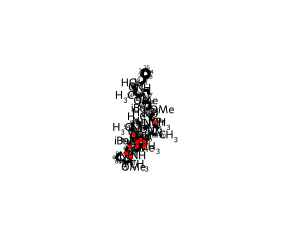 CC[C@H](C)[C@@H]([C@@H](CC(=O)N1CCC[C@H]1[C@H](OC)[C@@H](C)C(=O)N[C@H](CO)Cc1ccccc1)OC)N(C)C(=O)[C@@H](NC(=O)N1[C@H](CCC(C)[C@H](NC(=O)N2CCNCC2(C)C)C(=O)N(C)[C@@H]([C@@H](C)CC)[C@@H](CC(=O)N2CCC[C@H]2[C@H](OC)[C@@H](C)C(=O)N[C@H](CO)Cc2ccccc2)OC)CN(C)C[C@@H]1C)C(C)C